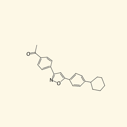 CC(=O)c1ccc(-c2cc(-c3ccc(C4CCCCC4)cc3)on2)cc1